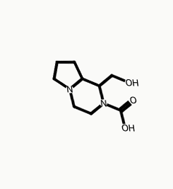 O=C(O)N1CCN2CCCC2C1CO